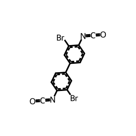 O=C=Nc1ccc(-c2ccc(N=C=O)c(Br)c2)cc1Br